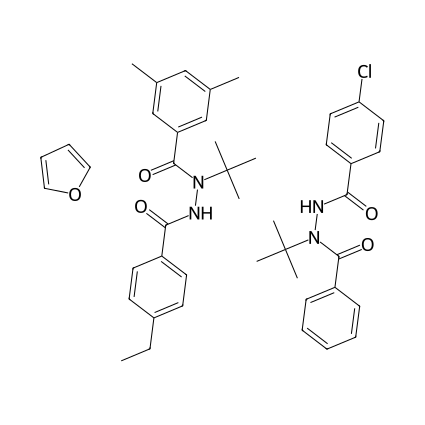 CC(C)(C)N(NC(=O)c1ccc(Cl)cc1)C(=O)c1ccccc1.CCc1ccc(C(=O)NN(C(=O)c2cc(C)cc(C)c2)C(C)(C)C)cc1.c1ccoc1